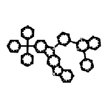 c1ccc(-c2nc(-c3cccc(-n4c5ccc(C(c6ccccc6)(c6ccccc6)c6ccccc6)cc5c5cc6oc7ccccc7c6cc54)c3)nc3ccccc23)cc1